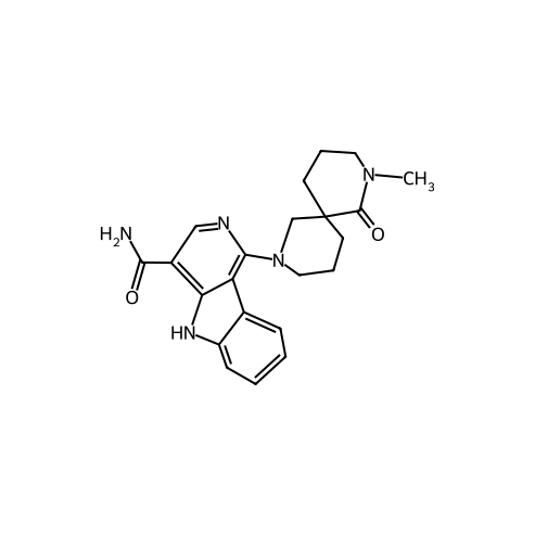 CN1CCCC2(CCCN(c3ncc(C(N)=O)c4[nH]c5ccccc5c34)C2)C1=O